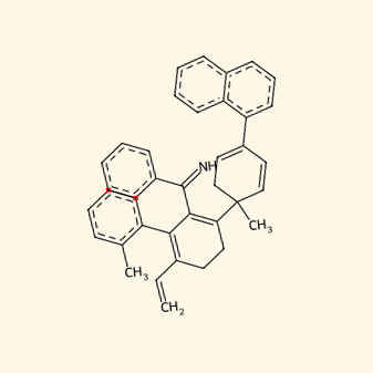 C=CC1=C(c2ccccc2C)C(C(=N)c2ccccc2)=C(C2(C)C=CC(c3cccc4ccccc34)=CC2)CC1